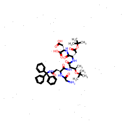 C[C@@H](OC(C)(C)C)[C@H](NC(=O)[C@H](CC(=O)NC(c1ccccc1)(c1ccccc1)c1ccccc1)NC(=O)CN)C(=O)N[C@@H](CC(=O)OC(C)(C)C)C(=O)N[C@@H](CC(=O)O)C(=O)O